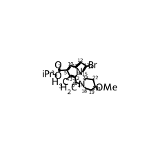 C=C(c1c(C)c(C(=O)OC(C)C)cc2cc(Br)cn12)N1CCC(OC)CC1